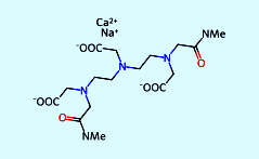 CNC(=O)CN(CCN(CCN(CC(=O)[O-])CC(=O)NC)CC(=O)[O-])CC(=O)[O-].[Ca+2].[Na+]